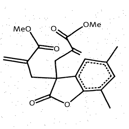 C=C(CC1(CC(=C)C(=O)OC)C(=O)Oc2c(C)cc(C)cc21)C(=O)OC